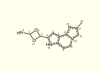 CCCC1OC(c2cc3c(ccn4cc(C)nc34)[nH]2)O1